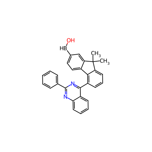 CC1(C)c2cc(BO)ccc2-c2c(-c3nc(-c4ccccc4)nc4ccccc34)cccc21